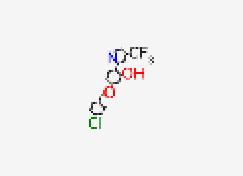 Oc1cc(OCc2ccc(Cl)cc2)ccc1-c1cc(C(F)(F)F)ccn1